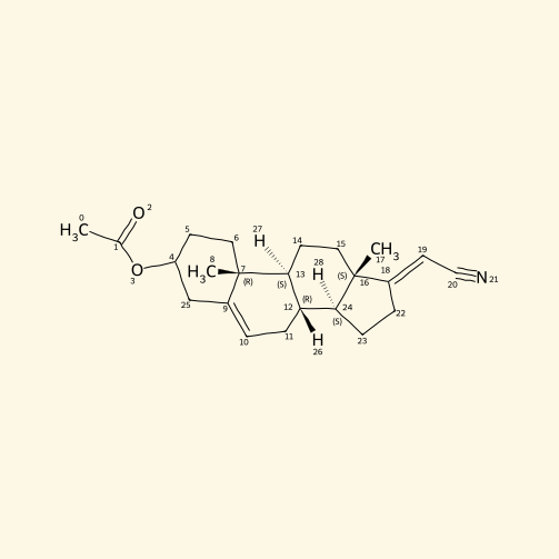 CC(=O)OC1CC[C@@]2(C)C(=CC[C@@H]3[C@@H]2CC[C@]2(C)C(=CC#N)CC[C@@H]32)C1